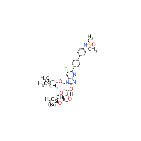 CC(C)(C)[Si](C)(C)OC1CO[C@H]2C1OC[C@H]2Oc1nc2nc(-c3ccc(-c4ccc(N=S(C)(C)=O)cc4)cc3)c(F)cc2n1COCC[Si](C)(C)C